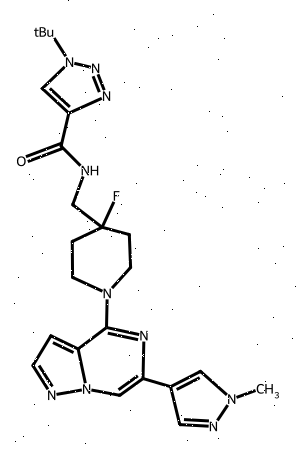 Cn1cc(-c2cn3nccc3c(N3CCC(F)(CNC(=O)c4cn(C(C)(C)C)nn4)CC3)n2)cn1